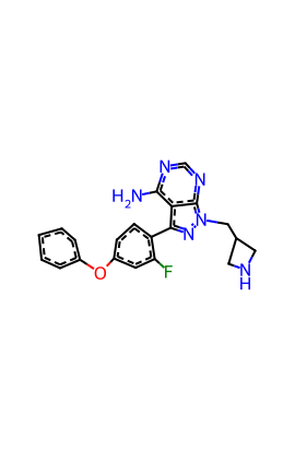 Nc1ncnc2c1c(-c1ccc(Oc3ccccc3)cc1F)nn2CC1CNC1